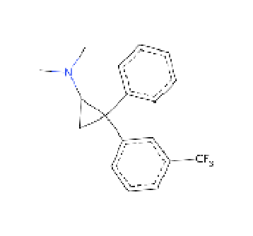 CN(C)C1CC1(c1ccccc1)c1cccc(C(F)(F)F)c1